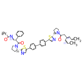 C=C/C=C(\C=C/C)CC(=O)N1CCC[C@H]1c1ncc(-c2ccc(-c3ccc(-c4cnc([C@@H]5CCCN5C(=O)C(/C=N/C(=O)C(C)C)c5ccccc5)s4)cc3)cc2)s1